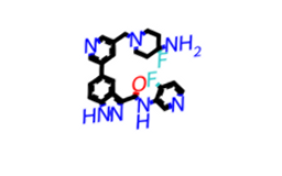 NC1(F)CCN(Cc2cncc(-c3ccc4[nH]nc(C(=O)Nc5cnccc5F)c4c3)c2)CC1